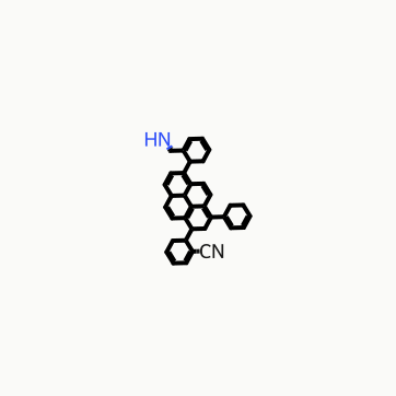 N#CC1=CC=CCC1C1CC(C2=CC=CCC2)=C2C=CC3=C(C4CC=CC=C4C=N)C=CC4C=CC1=C2C34